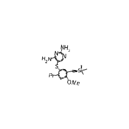 COc1cc(C(C)C)c(Sc2cnc(N)nc2N)cc1C#C[Si](C)(C)C